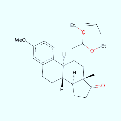 C=CC.CCOC(C)OCC.COc1ccc2c(c1)CC[C@@H]1[C@@H]2CC[C@]2(C)C(=O)CC[C@@H]12